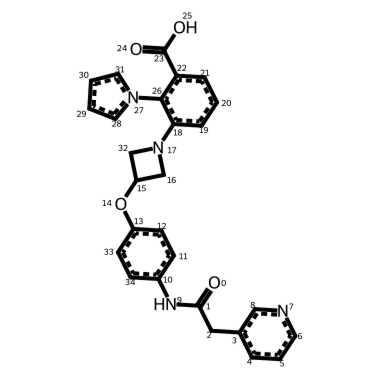 O=C(Cc1cccnc1)Nc1ccc(OC2CN(c3cccc(C(=O)O)c3-n3cccc3)C2)cc1